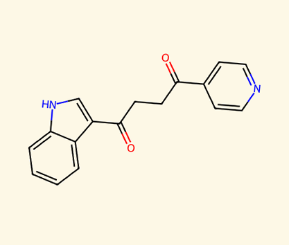 O=C(CCC(=O)c1c[nH]c2ccccc12)c1ccncc1